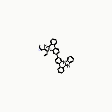 C=Cc1c(/C=C\C)nc2c3ccccc3c3ccc(-c4ccc5c6ccccc6c6nc7ccccc7n6c5c4)cc3n12